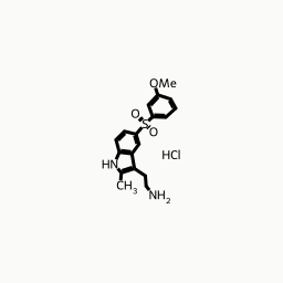 COc1cccc(S(=O)(=O)c2ccc3[nH]c(C)c(CCN)c3c2)c1.Cl